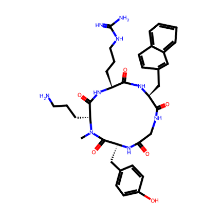 CN1C(=O)[C@@H](Cc2ccc(O)cc2)NC(=O)CNC(=O)[C@H](Cc2ccc3ccccc3c2)NC(=O)[C@H](CCCNC(=N)N)NC(=O)[C@H]1CCCN